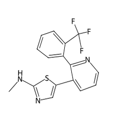 CNc1ncc(-c2cccnc2-c2ccccc2C(F)(F)F)s1